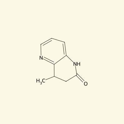 CC1CC(=O)Nc2cccnc21